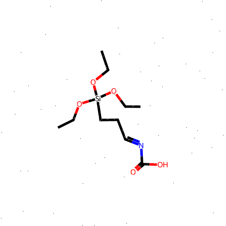 CCO[Si](CCC=NC(=O)O)(OCC)OCC